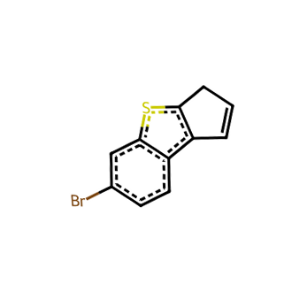 Brc1ccc2c3c(sc2c1)CC=C3